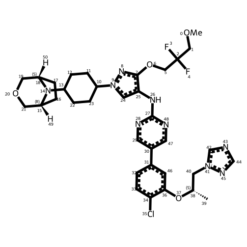 COCC(F)(F)COc1nn(C2CCC(N3[C@@H]4CC[C@H]3COC4)CC2)cc1Nc1ncc(-c2ccc(Cl)c(O[C@@H](C)Cn3cncn3)c2)cn1